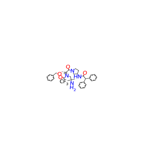 CC(C)(N)CN(C(=O)C(F)(F)F)[C@H](COCc1ccccc1)C(=O)N1CCC(NC(=O)C(c2ccccc2)c2ccccc2)C1